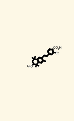 CCc1cc(C=Cc2cc3c(cc2C)C(C)(C)C(OC(C)=O)CC3(C)C)ccc1C(=O)O